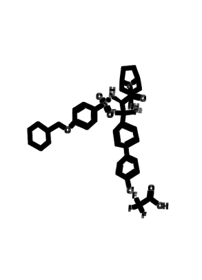 NC1CC2CCC(C1)N2C(=O)[C@H](NS(=O)(=O)c1ccc(OCC2CCCCC2)cc1)C(F)(F)c1ccc(-c2ccc(Cl)cc2)cc1.O=C(O)C(F)(F)F